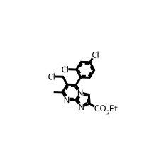 CCOC(=O)c1cn2c(-c3ccc(Cl)cc3Cl)c(CCl)c(C)nc2n1